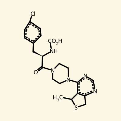 CC1SCc2ncnc(N3CCN(C(=O)[C@@H](Cc4ccc(Cl)cc4)NC(=O)O)CC3)c21